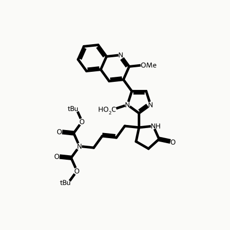 COc1nc2ccccc2cc1-c1cnc(C2(CC=CCN(C(=O)OC(C)(C)C)C(=O)OC(C)(C)C)CCC(=O)N2)n1C(=O)O